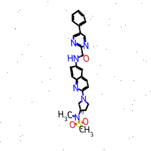 CN([C@@H]1CCN(c2ccc3cc(NC(=O)c4ncc(-c5ccccc5)cn4)ccc3n2)C1)S(C)(=O)=O